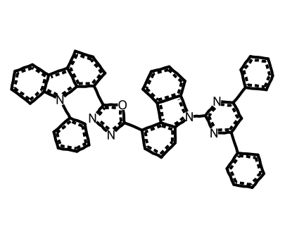 c1ccc(-c2cc(-c3ccccc3)nc(-n3c4ccccc4c4c(-c5nnc(-c6cccc7c8ccccc8n(-c8ccccc8)c67)o5)cccc43)n2)cc1